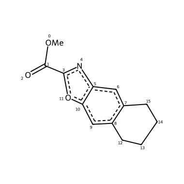 COC(=O)c1nc2cc3c(cc2o1)CCCC3